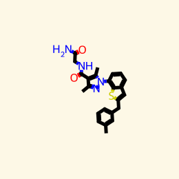 Cc1cccc(Cc2cc3cccc(-n4nc(C)c(C(=O)NCC(N)=O)c4C)c3s2)c1